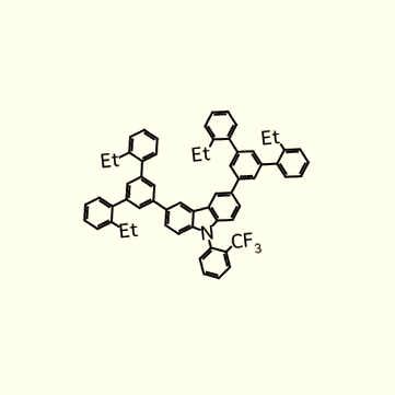 CCc1ccccc1-c1cc(-c2ccc3c(c2)c2cc(-c4cc(-c5ccccc5CC)cc(-c5ccccc5CC)c4)ccc2n3-c2ccccc2C(F)(F)F)cc(-c2ccccc2CC)c1